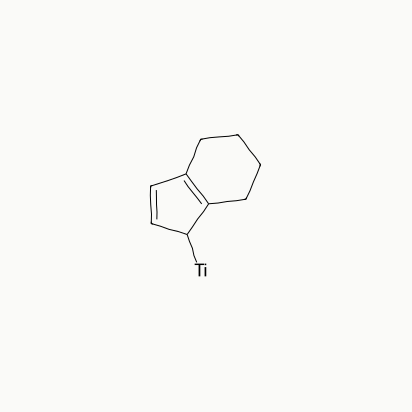 [Ti][CH]1C=CC2=C1CCCC2